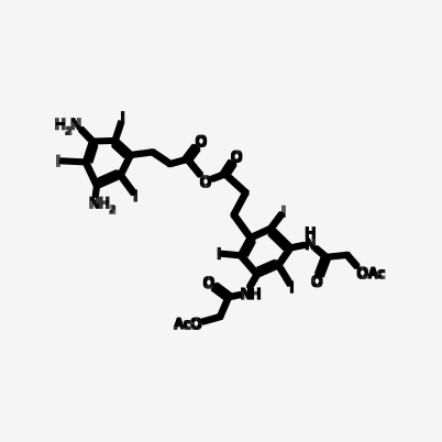 CC(=O)OCC(=O)Nc1c(I)c(CCC(=O)OC(=O)CCc2c(I)c(N)c(I)c(N)c2I)c(I)c(NC(=O)COC(C)=O)c1I